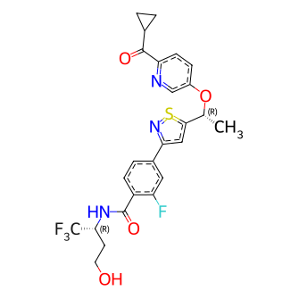 C[C@@H](Oc1ccc(C(=O)C2CC2)nc1)c1cc(-c2ccc(C(=O)N[C@H](CCO)C(F)(F)F)c(F)c2)ns1